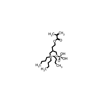 C=C(C)C(=O)OCCC(COP(=O)(O)O)C[N+](CCCC)(CCCC)CCCC